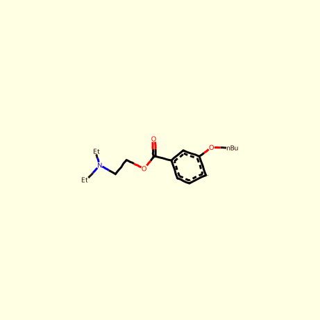 CCCCOc1[c]ccc(C(=O)OCCN(CC)CC)c1